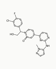 Cn1nccc1Nc1nccc(-c2ccn(C(CO)c3ccc(F)c(Cl)c3)c(=O)c2)n1